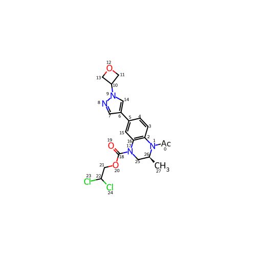 CC(=O)N1c2ccc(-c3cnn(C4COC4)c3)cc2N(C(=O)OCC(Cl)Cl)C[C@@H]1C